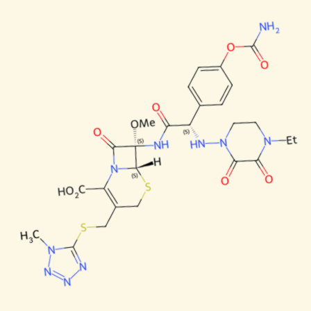 CCN1CCN(N[C@H](C(=O)N[C@]2(OC)C(=O)N3C(C(=O)O)=C(CSc4nnnn4C)CS[C@H]32)c2ccc(OC(N)=O)cc2)C(=O)C1=O